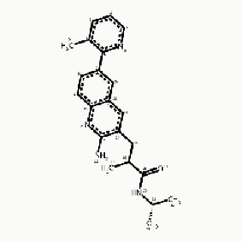 Cc1cccnc1-c1ccc2nc(N)c(CC(C)C(=O)N[C@H](C)C(F)(F)F)cc2c1